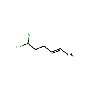 [SiH3]C=CCCC(Cl)Cl